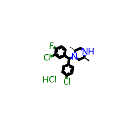 C[C@@H]1CN[C@@H](C)CN1C(c1ccc(Cl)cc1)c1ccc(F)c(Cl)c1.Cl